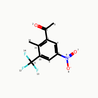 CC(=O)c1cc([N+](=O)[O-])cc(C(F)(F)F)c1C